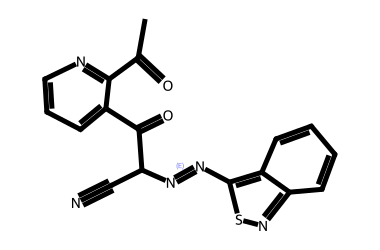 CC(=O)c1ncccc1C(=O)C(C#N)/N=N/c1snc2ccccc12